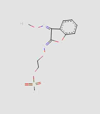 CON=C1C(=NOCCOS(C)(=O)=O)Oc2ccccc21